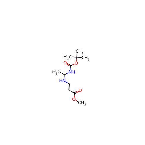 COC(=O)CCNC(C)NC(=O)OC(C)(C)C